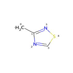 [CH2]c1ncsn1